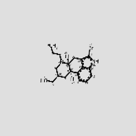 CCCN1C[C@H](CO)C[C@@H]2c3cccc4[nH]c(Br)c(c34)C[C@H]21